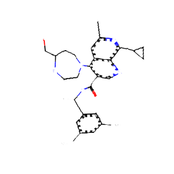 COc1cc(OC)cc([C@H](C)NC(=O)c2cnc3c(C4CC4)nc(C)cc3c2N2CCNC(CO)CC2)c1